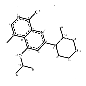 Cc1cnc(Cl)c2nc(N3CCOCC3C)cc(OC(C)C)c12